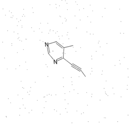 CC#Cc1ncncc1C